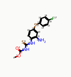 COC(=O)NC(=S)Nc1ccc(Sc2ccc(F)cc2)cc1N